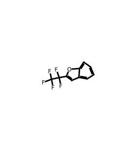 FC(F)(F)C(F)(F)c1[c]c2ccccc2o1